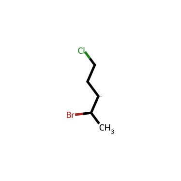 CC(Br)[CH]CCCl